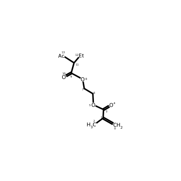 C=C(C)C(=O)OCCOC(=O)C(CC)C(C)=O